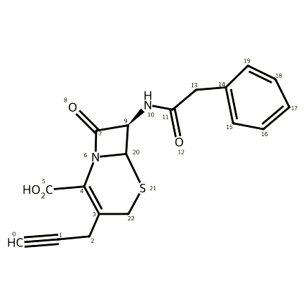 C#CCC1=C(C(=O)O)N2C(=O)[C@@H](NC(=O)Cc3ccccc3)C2SC1